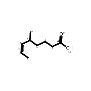 C/C=C\C(C)CCCC(=O)O